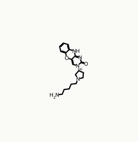 NCCCCCN1CC[C@@H](n2cc3c(nc2=O)Nc2ccccc2O3)C1